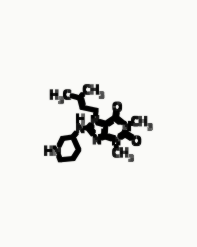 CC(C)=CCn1c(NC2CCCNC2)nc2c1c(=O)n(C)c(=O)n2C